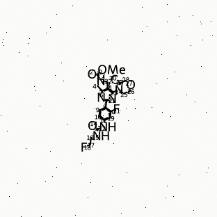 COC(=O)N1Cc2nc(-c3ccc(NC(=O)NCCF)cc3F)nc(N3CCOC[C@@H]3C)c2C1